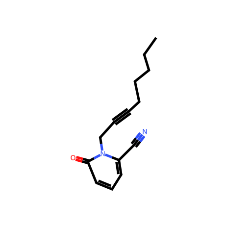 CCCCCC#CCn1c(C#N)cccc1=O